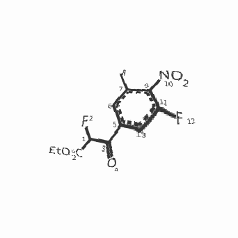 CCOC(=O)C(F)C(=O)c1cc(C)c([N+](=O)[O-])c(F)c1